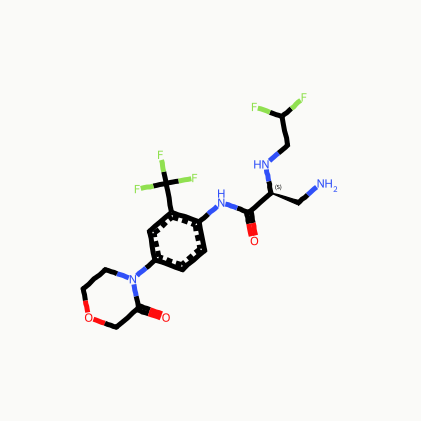 NC[C@H](NCC(F)F)C(=O)Nc1ccc(N2CCOCC2=O)cc1C(F)(F)F